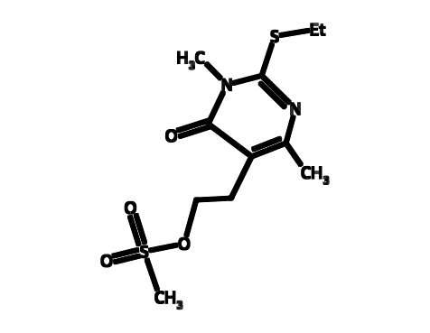 CCSc1nc(C)c(CCOS(C)(=O)=O)c(=O)n1C